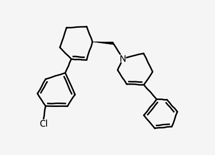 Clc1ccc(C2=C[C@H](CN3CC=C(c4ccccc4)CC3)CCC2)cc1